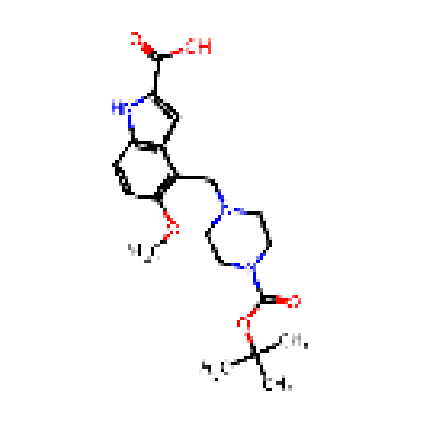 COc1ccc2[nH]c(C(=O)O)cc2c1CN1CCN(C(=O)OC(C)(C)C)CC1